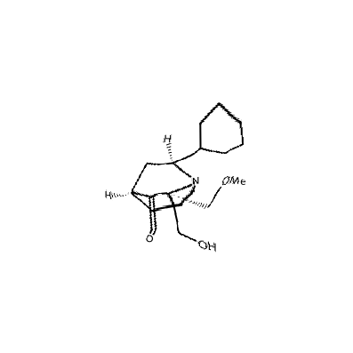 COC[C@]1(CO)C(=O)[C@H]2CCN1[C@H](C1CCCCC1)C2